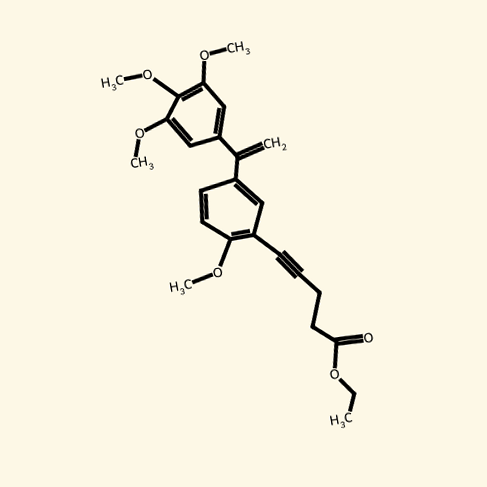 C=C(c1ccc(OC)c(C#CCCC(=O)OCC)c1)c1cc(OC)c(OC)c(OC)c1